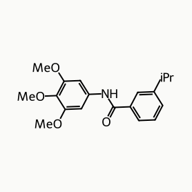 COc1cc(NC(=O)c2cccc(C(C)C)c2)cc(OC)c1OC